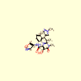 Cn1cc([C@H](c2ccccc2C#N)[C@H](c2nc(C(=O)Nc3cnoc3)c(O)c(=O)n2C)C(F)(F)F)cn1